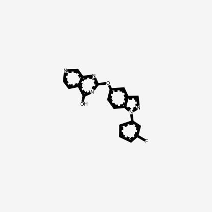 Oc1nc(Oc2ccc3c(cnn3-c3cccc(F)c3)c2)nc2cnccc12